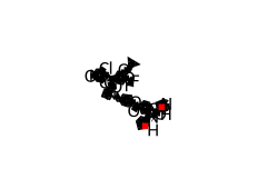 O=C(N[C@@H](c1ccccc1)c1cccc(C(=O)Oc2ccc(CCN3CCC[C@H]3C(=O)O[C@@H](Cc3c(Cl)c[n+]([O-])cc3Cl)c3ccc(OC(F)F)c(OCC4CC4)c3)cc2)c1)O[C@H]1CN2CCC1CC2